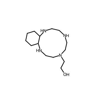 OCCN1CCNCCNC2CCCCC2NCC1